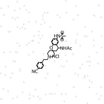 CC(=O)NC1CC2(CCN(CCc3ccc(C#N)cc3)CC2)Oc2ccc(NS(C)(=O)=O)cc21.Cl